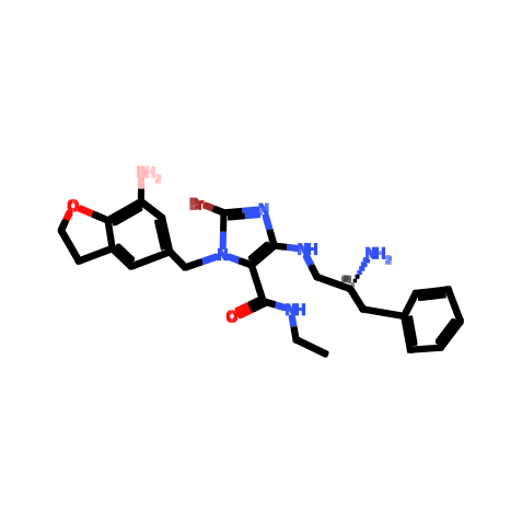 Bc1cc(Cn2c(Br)nc(NC[C@H](N)Cc3ccccc3)c2C(=O)NCC)cc2c1OCC2